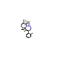 C=CC12CCC=C(CC)[C@@H]3C1N(CCC(c1ccccc1C)=C2C)N3C